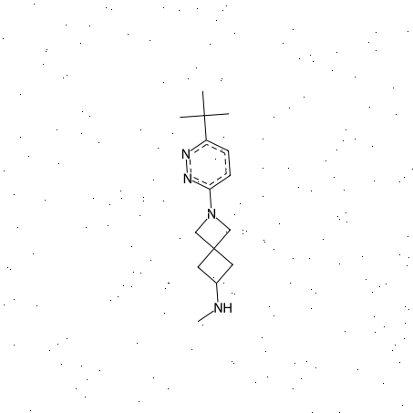 CNC1CC2(C1)CN(c1ccc(C(C)(C)C)nn1)C2